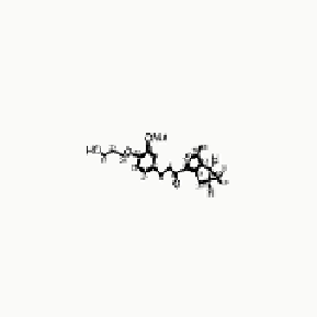 COc1cc(CCC(=O)c2sc(C)c3c2C[C@@H]2[C@H]3C2(C)C)ccc1OCCCO